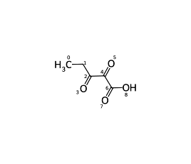 CCC(=O)C(=O)C(=O)O